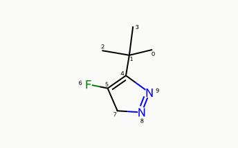 CC(C)(C)C1=C(F)CN=N1